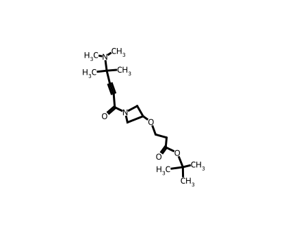 CN(C)C(C)(C)C#CC(=O)N1CC(OCCC(=O)OC(C)(C)C)C1